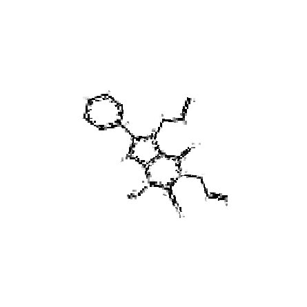 C=CCn1c(=O)c2c(nc(-c3ccccc3)n2CC=C)n(CCC)c1=O